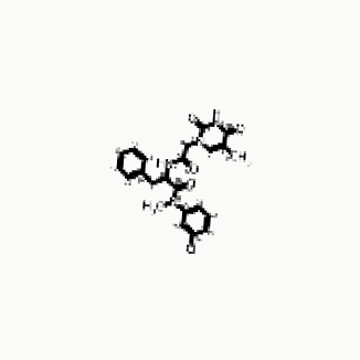 Cc1cn(CC(=O)NC(Cc2ccccc2)C(=O)N(C)c2cccc(Cl)c2)c(=O)[nH]c1=O